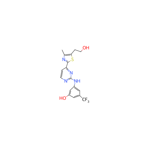 Cc1nc(-c2ccnc(Nc3cc(O)cc(C(F)(F)F)c3)n2)sc1CCO